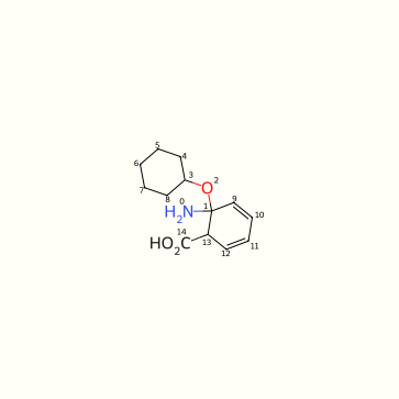 NC1(OC2CCCCC2)C=CC=CC1C(=O)O